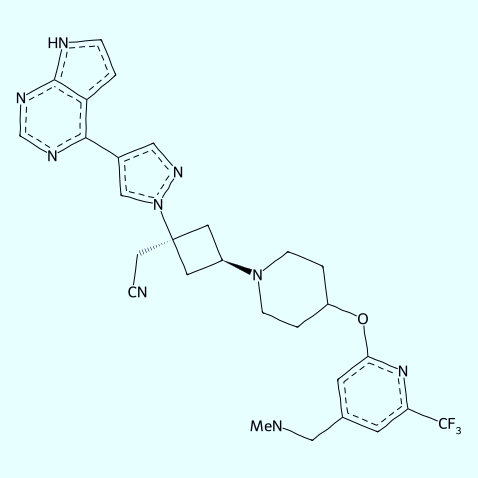 CNCc1cc(OC2CCN([C@H]3C[C@@](CC#N)(n4cc(-c5ncnc6[nH]ccc56)cn4)C3)CC2)nc(C(F)(F)F)c1